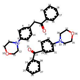 O=C(Cc1ccc(N2CCOCC2)cc1)c1ccccc1.O=C(c1ccccc1)c1ccc(N2CCOCC2)cc1